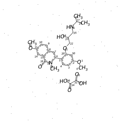 COc1ccc(-c2cc3ccc(OC)cc3c(=O)n2C)c(OCC(O)CNC(C)C)c1.O=C(O)C(=O)O